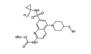 CC(C)SC1CCN(c2cc(S(=O)(=O)NC3(C)CC3)cc3nc(NC(=O)OC(C)(C)C)ccc23)CC1